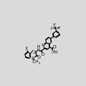 COC(=O)[C@H](Cc1ccccc1F)NC(=O)c1cc(C(=O)O)c2cc(-c3cccc(C(F)(F)F)c3)ccc2n1